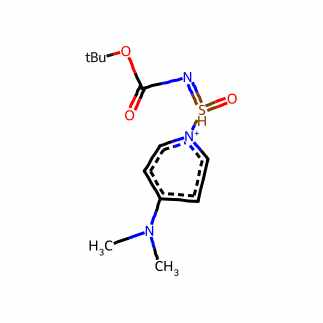 CN(C)c1cc[n+](/[SH](=O)=N\C(=O)OC(C)(C)C)cc1